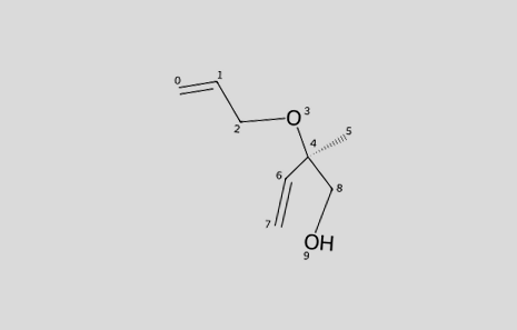 C=CCO[C@](C)(C=C)CO